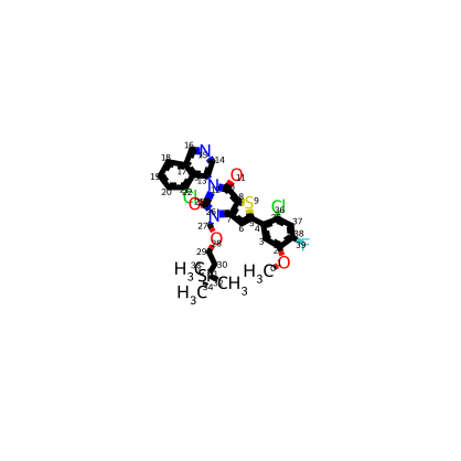 COc1cc(-c2cc3c(s2)c(=O)n(-c2cncc4cccc(Cl)c24)c(=O)n3COCC[Si](C)(C)C)c(Cl)cc1F